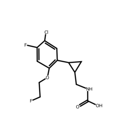 O=C(O)NCC1CC1c1cc(Cl)c(F)cc1OCCF